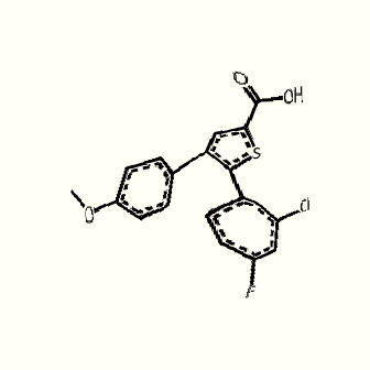 COc1ccc(-c2cc(C(=O)O)sc2-c2ccc(F)cc2Cl)cc1